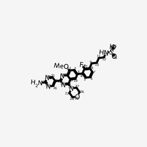 COc1cc(-c2cccc(CCCCN[SH](=O)=O)c2F)cc2c(N3CCOCC3)nc(-c3cnc(N)nc3)nc12